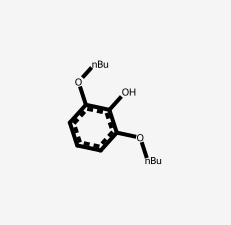 CCCCOc1cccc(OCCCC)c1O